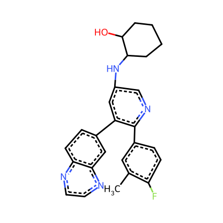 Cc1cc(-c2ncc(NC3CCCCC3O)cc2-c2ccc3nccnc3c2)ccc1F